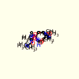 CCn1c(-c2cccnc2[C@H](C)OC)c2c3cc(ccc31)-c1cccc(c1)C[C@H](NC(=O)C(C1CCCC1)N(C)C(=O)[C@@H]1CN(C(=O)C#CC(C)(C)N(C)C)C[C@@H]1C)C(=O)N1CCC[C@H](N1)C(=O)OCC(C)(C)C2